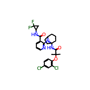 CC(C)(Oc1ccc(Cl)cc1Cl)C(=O)NC12CCCC(CC1)N2c1ncccc1C(=O)NC1CC1(F)F